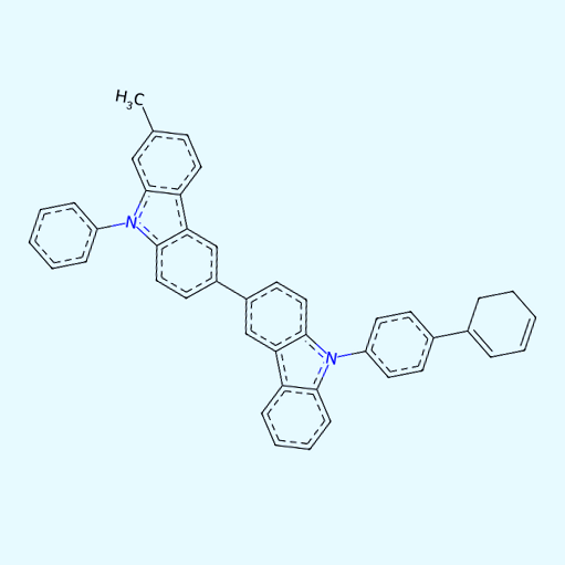 Cc1ccc2c3cc(-c4ccc5c(c4)c4ccccc4n5-c4ccc(C5=CC=CCC5)cc4)ccc3n(-c3ccccc3)c2c1